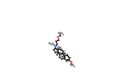 CCOCCCN(C)[C@H]1CC[C@H]2[C@@H]3CCc4cc(OC)ccc4[C@H]3CC[C@]12C